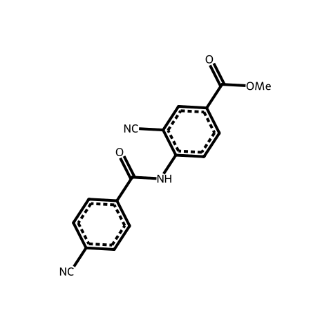 COC(=O)c1ccc(NC(=O)c2ccc(C#N)cc2)c(C#N)c1